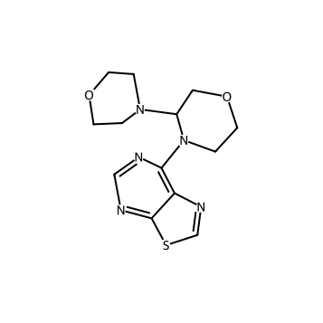 c1nc(N2CCOCC2N2CCOCC2)c2ncsc2n1